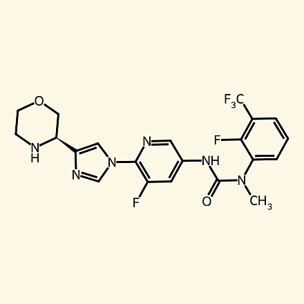 CN(C(=O)Nc1cnc(-n2cnc([C@@H]3COCCN3)c2)c(F)c1)c1cccc(C(F)(F)F)c1F